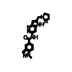 C[C@H]1CCCN1Cc1cc2nnc(NC(=O)c3ccc4c(cnn4C)c3)cc2[nH]1